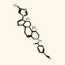 Cc1cn(C2=CCC3C4CC=C5C[C@@H](NC(=O)c6ccc(C#N)cc6)CC[C@]5(C)C4CC[C@]23C)cn1